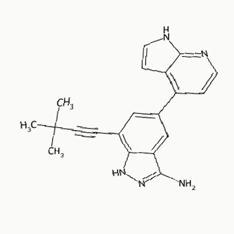 CC(C)(C)C#Cc1cc(-c2ccnc3[nH]ccc23)cc2c(N)n[nH]c12